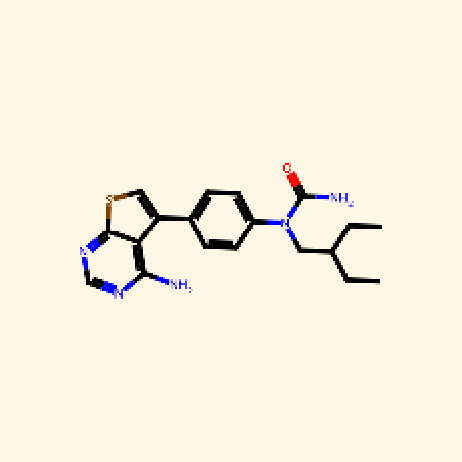 CCC(CC)CN(C(N)=O)c1ccc(-c2csc3ncnc(N)c23)cc1